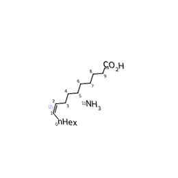 CCCCCC/C=C\CCCCCCCC(=O)O.N